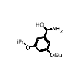 CC(C)COc1cc(OC(C)C)cc(C(N)O)c1